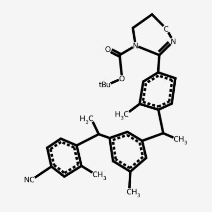 Cc1cc(C(C)c2ccc(C#N)cc2C)cc(C(C)c2ccc(C3=NCCCN3C(=O)OC(C)(C)C)cc2C)c1